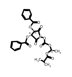 CC(C)C(=O)O[C@H](C)OC(=O)ON1C(=O)[C@H](OC(=O)c2ccccc2)[C@@H](OC(=O)c2ccccc2)C1=O